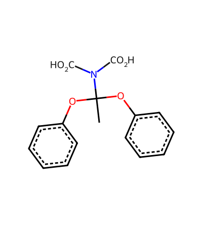 CC(Oc1ccccc1)(Oc1ccccc1)N(C(=O)O)C(=O)O